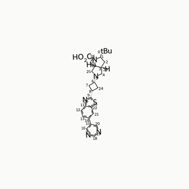 CC(C)(C)C1C[C@@H]2CN([C@H]3C[C@@H](c4nc5ccc(-c6cncnc6)cc5s4)C3)C[C@@H]2N1C(=O)O